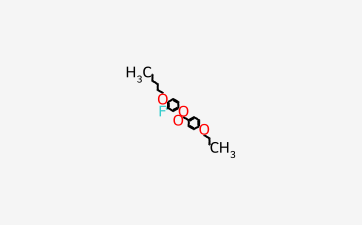 CCCCCCOc1ccc(OC(=O)c2ccc(OCCCC)cc2)cc1F